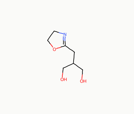 OCC(CO)CC1=NCCO1